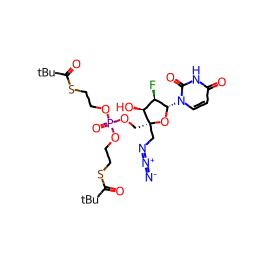 CC(C)(C)C(=O)SCCOP(=O)(OCCSC(=O)C(C)(C)C)OC[C@@]1(CN=[N+]=[N-])O[C@@H](n2ccc(=O)[nH]c2=O)[C@H](F)[C@@H]1O